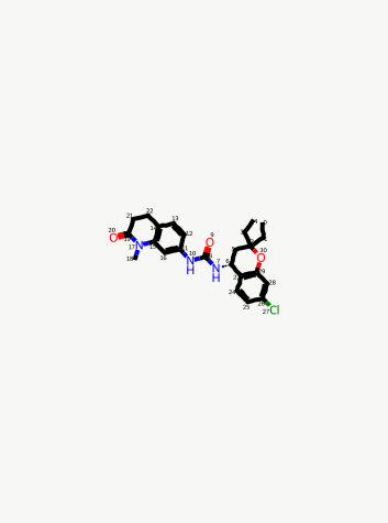 CCC1(CC)C[C@@H](NC(=O)Nc2ccc3c(c2)N(C)C(=O)CC3)c2ccc(Cl)cc2O1